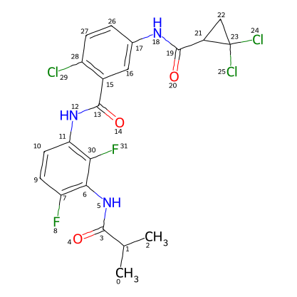 CC(C)C(=O)Nc1c(F)ccc(NC(=O)c2cc(NC(=O)C3CC3(Cl)Cl)ccc2Cl)c1F